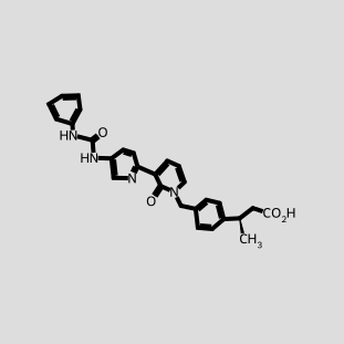 C[C@H](CC(=O)O)c1ccc(Cn2cccc(-c3ccc(NC(=O)Nc4ccccc4)cn3)c2=O)cc1